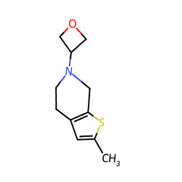 Cc1cc2c(s1)CN(C1COC1)CC2